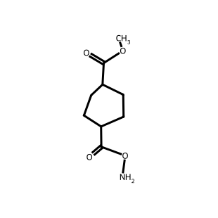 COC(=O)C1CCC(C(=O)ON)CC1